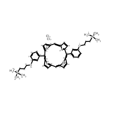 C[N+](C)(C)CCCOc1cccc(-c2c3nc(cc4ccc([nH]4)c(-c4cccc(OCCC[N+](C)(C)C)c4)c4nc(cc5ccc2[nH]5)C=C4)C=C3)c1.[Cl-].[Cl-]